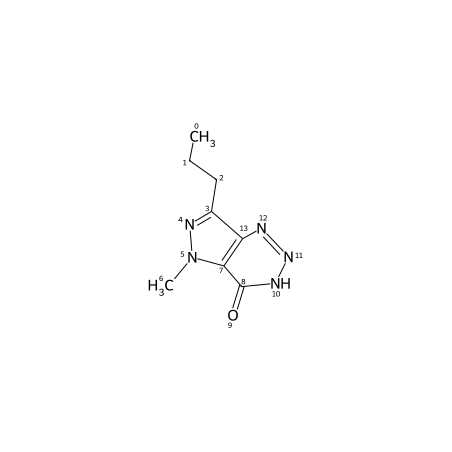 CCCc1nn(C)c2c(=O)[nH]nnc12